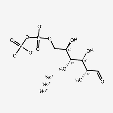 O=C[C@H](O)[C@@H](O)[C@H](O)[C@H](O)COP(=O)([O-])OP(=O)([O-])[O-].[Na+].[Na+].[Na+]